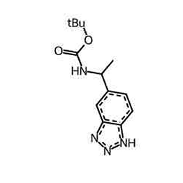 CC(NC(=O)OC(C)(C)C)c1ccc2[nH]nnc2c1